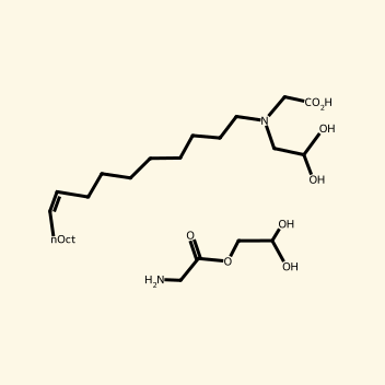 CCCCCCCC/C=C\CCCCCCCCN(CC(=O)O)CC(O)O.NCC(=O)OCC(O)O